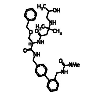 CNC(=O)NCc1ccccc1-c1ccc(CNC(=O)[C@@H](COCc2ccccc2)NC(=O)CC(C)(C)NCC(C)O)cc1